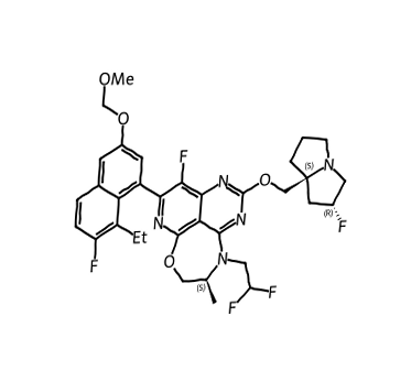 CCc1c(F)ccc2cc(OCOC)cc(-c3nc4c5c(nc(OC[C@@]67CCCN6C[C@H](F)C7)nc5c3F)N(CC(F)F)[C@@H](C)CO4)c12